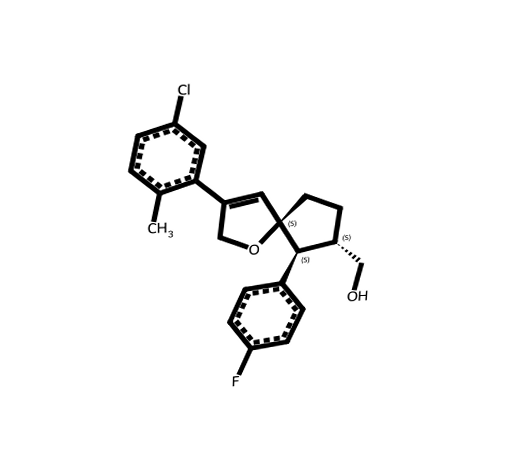 Cc1ccc(Cl)cc1C1=C[C@@]2(CC[C@H](CO)[C@H]2c2ccc(F)cc2)OC1